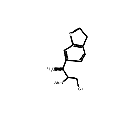 C=C(c1ccc2c(c1)SCC2)C(CO)NC